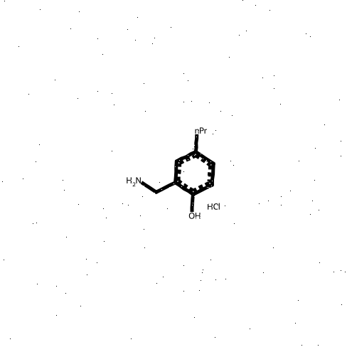 CCCc1ccc(O)c(CN)c1.Cl